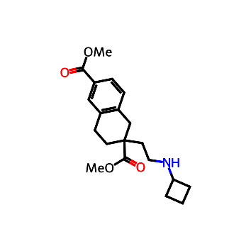 COC(=O)c1ccc2c(c1)CCC(CCNC1CCC1)(C(=O)OC)C2